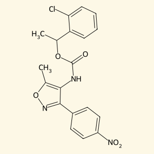 Cc1onc(-c2ccc([N+](=O)[O-])cc2)c1NC(=O)OC(C)c1ccccc1Cl